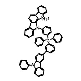 c1ccc(-n2c3ccccc3c3cc(-c4cccc([Si](c5ccccc5)(c5ccccc5)c5cccc(-n6c7ccccc7c7ccc8c9ccccc9[nH]c8c76)c5)c4)ccc32)cc1